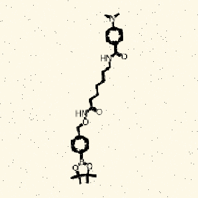 CN(C)c1ccc(C(=O)NCCCCCCC(=O)NOCc2ccc(B3OC(C)(C)C(C)(C)O3)cc2)cc1